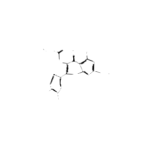 CCCCCCCCCC(=O)Oc1c(-c2ccc(O)c(O)c2)oc2cc(O)cc(O)c2c1=O